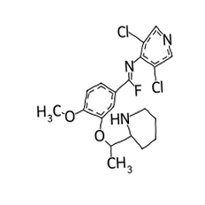 COc1ccc(/C(F)=N/c2c(Cl)cncc2Cl)cc1OC(C)C1CCCCN1